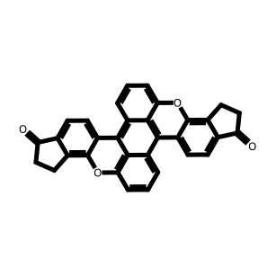 O=C1CCc2c1ccc1c2oc2cccc3c2c1c1cccc2oc4c5c(ccc4c3c21)C(=O)CC5